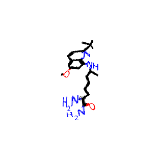 COc1cc(NC(C)CCCC[C@H](N)C(N)=O)c2nc(C(C)(C)C)ccc2c1